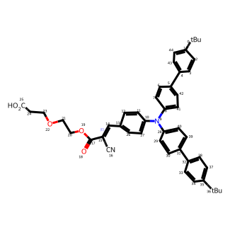 CC(C)(C)c1ccc(-c2ccc(N(c3ccc(/C=C(\C#N)C(=O)OCCOCCC(=O)O)cc3)c3ccc(-c4ccc(C(C)(C)C)cc4)cc3)cc2)cc1